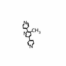 Cc1cc(-c2ccncc2)cnc1-c1ccncc1